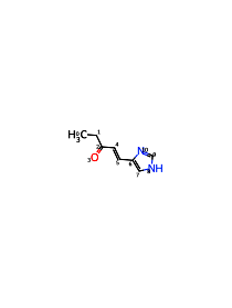 CCC(=O)/C=C/c1c[nH]cn1